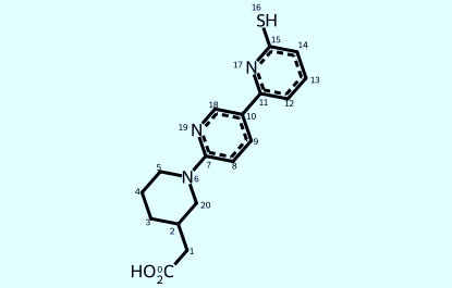 O=C(O)CC1CCCN(c2ccc(-c3cccc(S)n3)cn2)C1